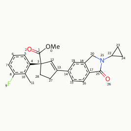 COC(=O)[C@]1(c2cccc(F)c2C)C=C(c2ccc3c(c2)CN(C2CC2)C3=O)CC1